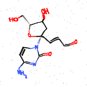 Nc1ccn([C@@]2(C=CC=O)C[C@H](O)[C@@H](CO)O2)c(=O)n1